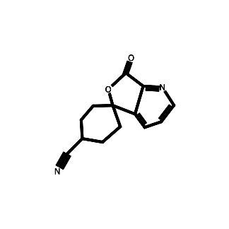 N#CC1CCC2(CC1)OC(=O)c1ncccc12